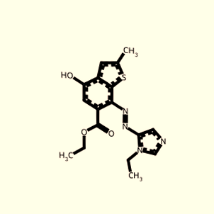 CCOC(=O)c1cc(O)c2cc(C)sc2c1/N=N/c1cncn1CC